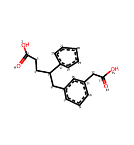 O=C(O)CCC(Cc1cccc(CC(=O)O)c1)c1ccccc1